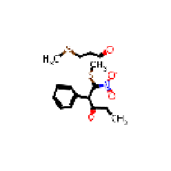 CCC(=O)C(c1ccccc1)C(SC)[N+](=O)[O-].CSCCC=O